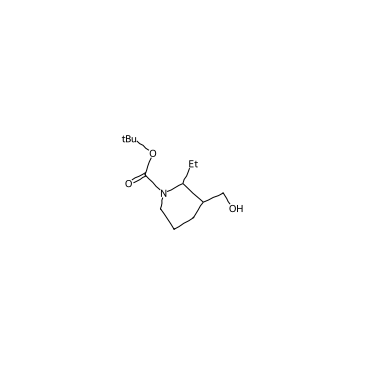 CCC1C(CO)CCCN1C(=O)OC(C)(C)C